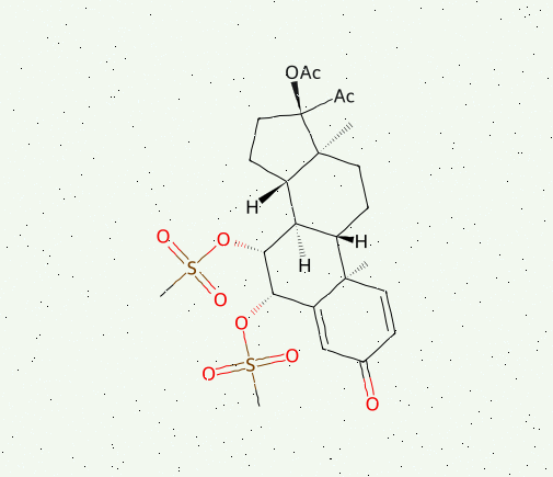 CC(=O)O[C@]1(C(C)=O)CC[C@H]2[C@@H]3[C@@H](OS(C)(=O)=O)[C@@H](OS(C)(=O)=O)C4=CC(=O)C=C[C@]4(C)[C@H]3CC[C@@]21C